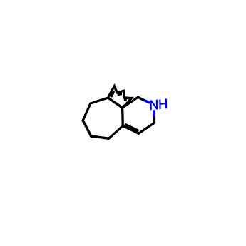 C1=CC=C2CCCCC3=CCNCC23C=C1